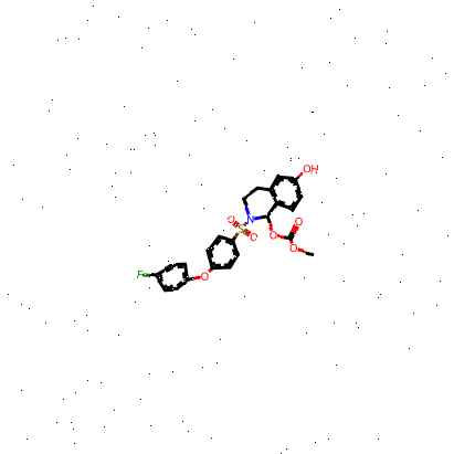 COC(=O)OC1c2ccc(O)cc2CCN1S(=O)(=O)c1ccc(Oc2ccc(F)cc2)cc1